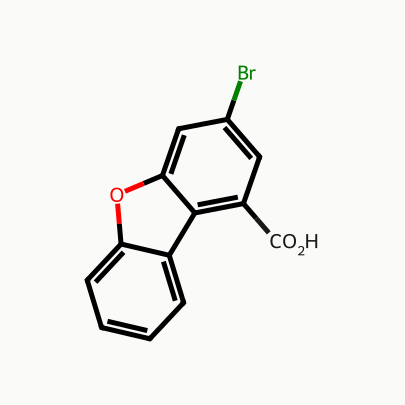 O=C(O)c1cc(Br)cc2oc3ccccc3c12